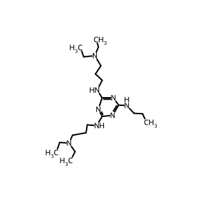 CCCNc1nc(NCCCN(CC)CC)nc(NCCCN(CC)CC)n1